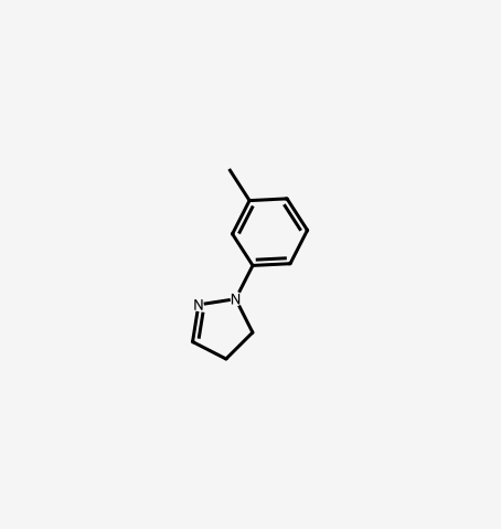 Cc1cccc(N2CCC=N2)c1